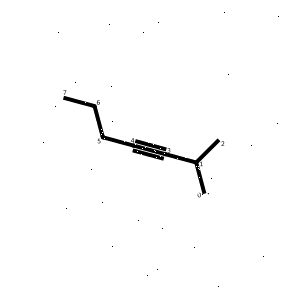 [CH2]C(C)C#CCCC